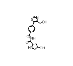 C[C@H](NC(=O)C1CC(O)CN1)c1ccc(-c2scnc2CO)cc1